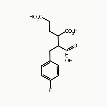 O=C(O)CCC(C(=O)O)C(Cc1ccc(F)cc1)[PH](=O)O